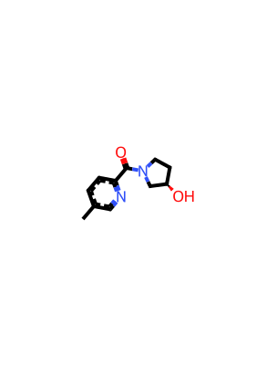 Cc1ccc(C(=O)N2CC[C@@H](O)C2)nc1